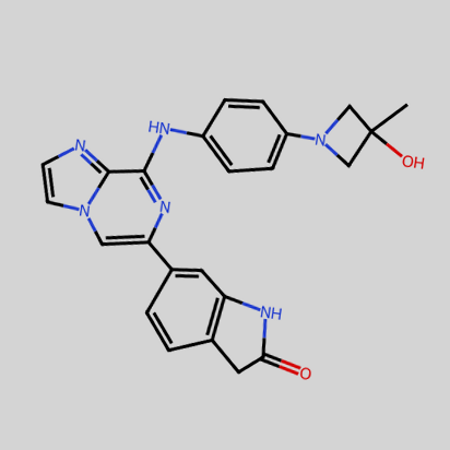 CC1(O)CN(c2ccc(Nc3nc(-c4ccc5c(c4)NC(=O)C5)cn4ccnc34)cc2)C1